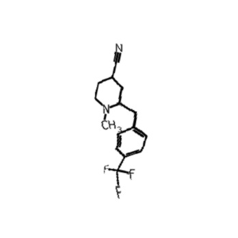 CN1CCC(C#N)CC1Cc1ccc(C(F)(F)F)cc1